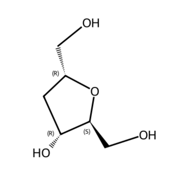 OC[C@H]1C[C@@H](O)[C@H](CO)O1